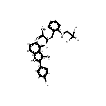 O=C(O)[C@@H](Cc1ccccc1OCC(F)(F)F)Oc1cccc2oc(-c3ccc(F)cc3)c(Br)c12